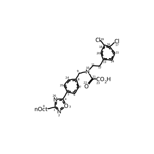 CCCCCCCCc1noc(-c2ccc(CN(CCc3ccc(Cl)c(Cl)c3)C(=O)C(=O)O)cc2)n1